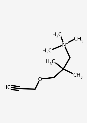 C#CCOCC(C)(C)C[N+](C)(C)C